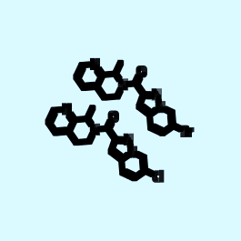 CC1c2ncccc2CCN1C(=O)c1cc2ccc(Br)cn2n1.CC1c2ncccc2CCN1C(=O)c1cc2ccc(Cl)cn2n1